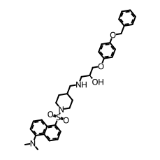 CN(C)c1cccc2c(S(=O)(=O)N3CCC(CNC[C@H](O)COc4ccc(OCc5ccccc5)cc4)CC3)cccc12